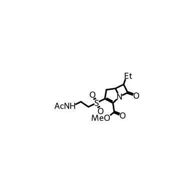 CCC1C(=O)N2C(C(=O)OC)=C(S(=O)(=O)CCNC(C)=O)CC12